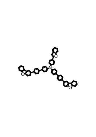 c1ccc2oc(-c3ccc(N(c4ccc(-c5ccc(-c6ccc7oc8ccccc8c7c6)cc5)cc4)c4ccc(-c5ccc(-c6ccc7oc8ccccc8c7c6)cc5)cc4)cc3)cc2c1